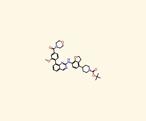 COc1cc(C(=O)N2CCOCC2)ccc1-c1cccc2cnc(Nc3ccc(C4CCN(C(=O)OC(C)(C)C)CC4)c4c3OCC4)nc12